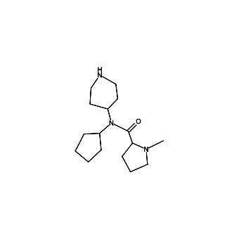 CN1CCCC1C(=O)N(C1CCCC1)C1CCNCC1